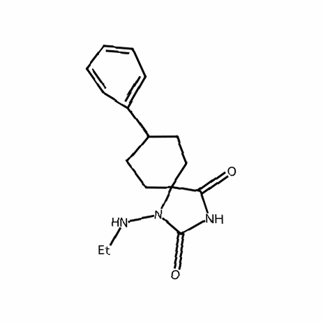 CCNN1C(=O)NC(=O)C12CCC(c1ccccc1)CC2